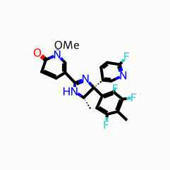 COn1cc(C2=N[C@@](c3ccc(F)nc3)(c3cc(F)c(C)c(F)c3F)[C@H](C)N2)ccc1=O